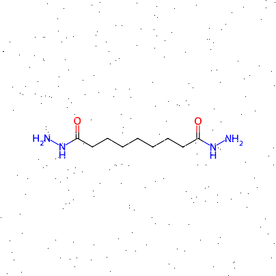 NNC(=O)CCCCCCCC(=O)NN